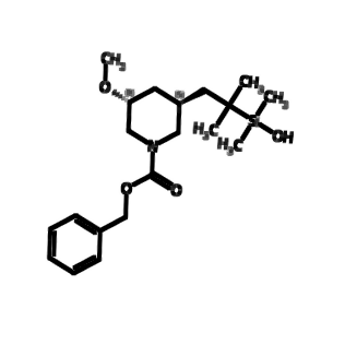 CO[C@@H]1C[C@@H](CC(C)(C)[Si](C)(C)O)CN(C(=O)OCc2ccccc2)C1